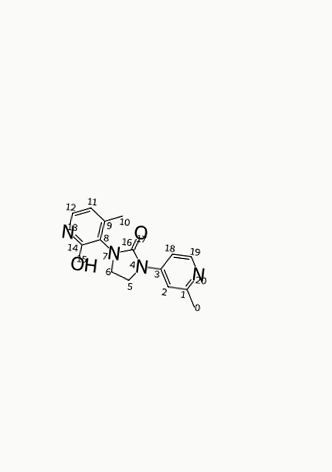 Cc1cc(N2CCN(c3c(C)ccnc3O)C2=O)ccn1